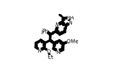 CCOc1ncccc1C(c1cncc(OC)c1)C(c1ccc2n[nH]c(C)c2n1)C(C)C